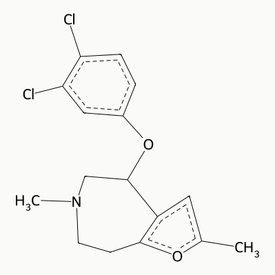 Cc1cc2c(o1)CCN(C)CC2Oc1ccc(Cl)c(Cl)c1